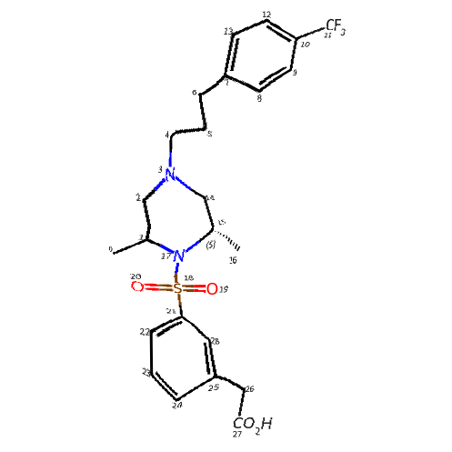 CC1CN(CCCc2ccc(C(F)(F)F)cc2)C[C@H](C)N1S(=O)(=O)c1cccc(CC(=O)O)c1